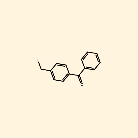 O=C(c1ccccc1)c1ccc(CI)cc1